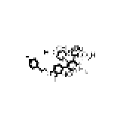 Cc1nc(O)c(-c2ccc(OCCc3ccc(F)cc3)c(F)c2)c(N2CCC(C)(C)CC2)c1C(OC(C)(C)C)C(=O)O